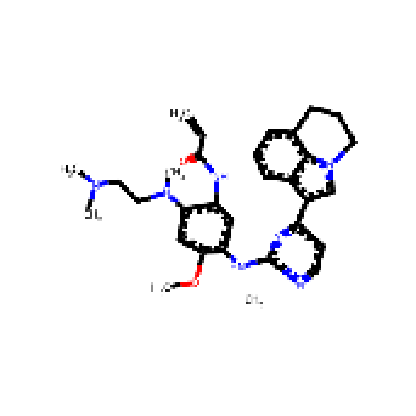 C=CC(=O)Nc1cc(Nc2nccc(-c3cn4c5c(cccc35)CCC4)n2)c(OC)cc1N(C)CCN(C)C.[CH3]